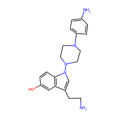 NCCc1cn(N2CCN(c3ccc(N)cc3)CC2)c2ccc(O)cc12